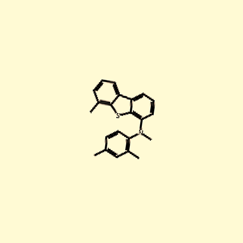 Cc1ccc(N(C)c2cccc3c2sc2c(C)cccc23)c(C)c1